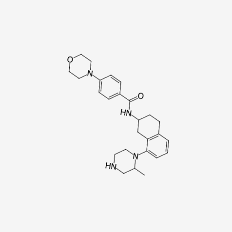 CC1CNCCN1c1cccc2c1CC(NC(=O)c1ccc(N3CCOCC3)cc1)CC2